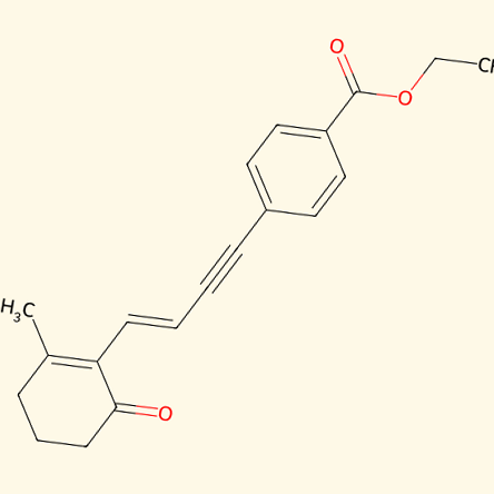 CCOC(=O)c1ccc(C#C/C=C/C2=C(C)CCCC2=O)cc1